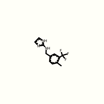 Cc1ccc(CNc2ncc[nH]2)cc1C(F)(F)F